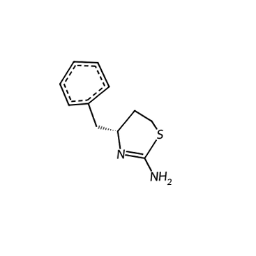 NC1=N[C@H](Cc2ccccc2)CCS1